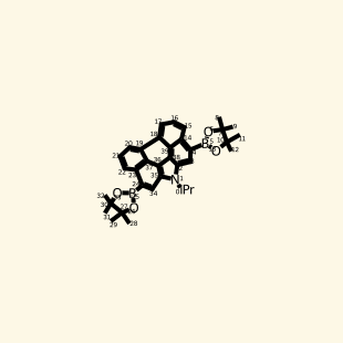 CC(C)n1c2cc(B3OC(C)(C)C(C)(C)O3)c3cccc4c5cccc6c(B7OC(C)(C)C(C)(C)O7)cc1c(c65)c2c34